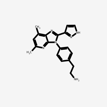 Cc1cc(C)c2nc(-c3cc[nH]n3)n(-c3ccc(CCN)cc3)c2n1